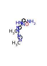 CCN1CCCN(CCN(C)c2ccc(-c3nc4c(C(N)=O)cccc4[nH]3)cn2)CC1